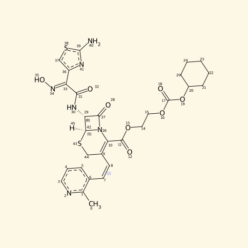 Cc1ncccc1/C=C\C1=C(C(=O)OCCOC(=O)OC2CCCCC2)N2C(=O)[C@@H](NC(=O)C(=NO)c3csc(N)n3)[C@@H]2SC1